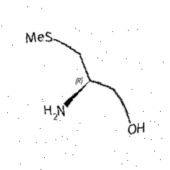 CSC[C@H](N)CO